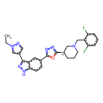 CCn1cc(-c2n[nH]c3ccc(-c4nnc([C@@H]5CCCN(Cc6c(F)cccc6F)C5)o4)cc23)cn1